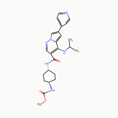 COC(=O)N[C@H]1CC[C@H](NC(=O)c2cnn3cc(-c4ccncc4)cc3c2NC(C)C)CC1